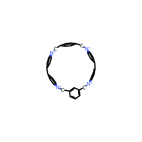 c1cc2cc(c1)C[n+]1ccc(cc1)-c1cc[n+](cc1)Cc1ccc(cc1)C[n+]1ccc(cc1)-c1cc[n+](cc1)C2